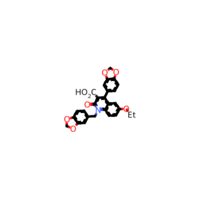 CCOc1ccc2c(c1)c(-c1ccc3c(c1)OCO3)c(C(=O)O)c(=O)n2Cc1ccc2c(c1)OCO2